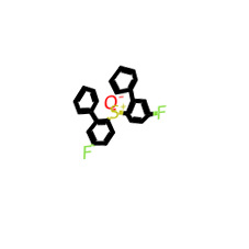 [O-][S+](c1ccc(F)cc1-c1ccccc1)c1ccc(F)cc1-c1ccccc1